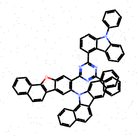 c1ccc(-c2nc(-c3cc4oc5c6ccccc6ccc5c4cc3-n3c4cc5ccccc5cc4c4ccc5ccccc5c43)nc(-c3cccc4c3c3ccccc3n4-c3ccccc3)n2)cc1